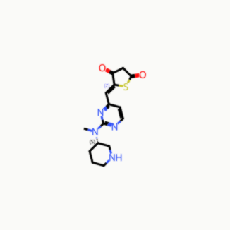 CN(c1nccc(/C=C2\SC(=O)CC2=O)n1)[C@H]1CCCNC1